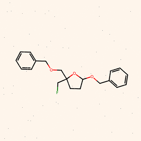 FCC1(COCc2ccccc2)CCC(OCc2ccccc2)O1